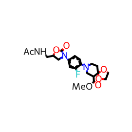 COC(=O)C1CN(c2ccc(N3CC(CNC(C)=O)OC3=O)cc2F)CCC12OCCO2